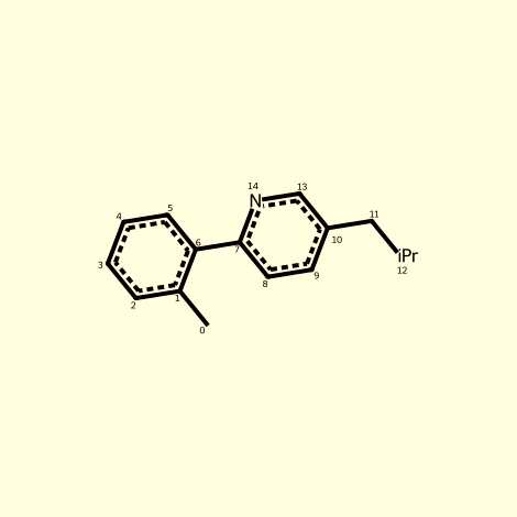 Cc1ccccc1-c1ccc(CC(C)C)cn1